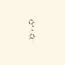 CC(C)(C)[Si](C)(C)Oc1c(Cl)cc(NC(=O)NC(=O)c2c(F)cccc2F)cc1Cl